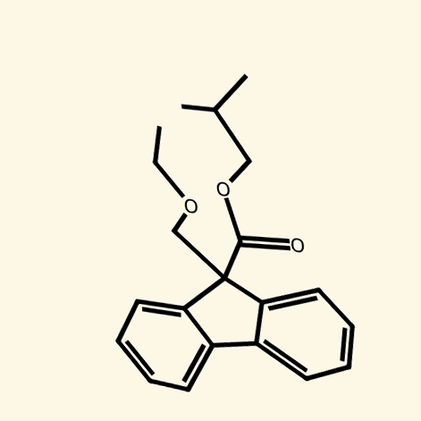 CCOCC1(C(=O)OCC(C)C)c2ccccc2-c2ccccc21